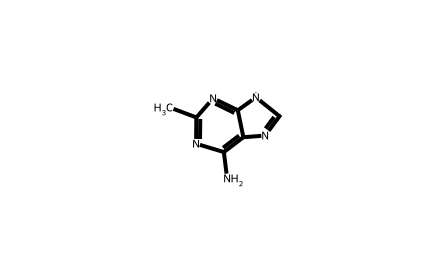 Cc1nc(N)c2c(n1)[N]C=N2